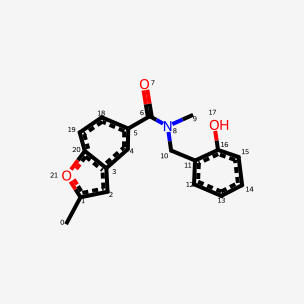 Cc1cc2cc(C(=O)N(C)Cc3ccccc3O)ccc2o1